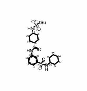 CC(C)(C)S(=O)(=O)N[C@H]1CC[C@H](C(=O)Nc2cccc(S(=O)(=O)NC3CCCCC3)c2)CC1